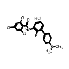 CN(C)C1CC=C(c2cccc(NC(=O)c3c(Cl)cc(Cl)cc3Cl)c2F)CC1.Cl